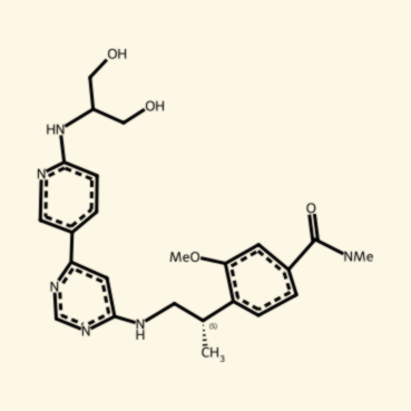 CNC(=O)c1ccc([C@H](C)CNc2cc(-c3ccc(NC(CO)CO)nc3)ncn2)c(OC)c1